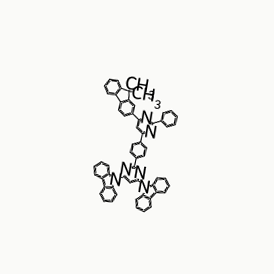 CC1(C)c2ccccc2-c2ccc(-c3cc(-c4ccc(-c5nc(-n6c7ccccc7c7ccccc76)cc(-n6c7ccccc7c7ccccc76)n5)cc4)nc(-c4ccccc4)n3)cc21